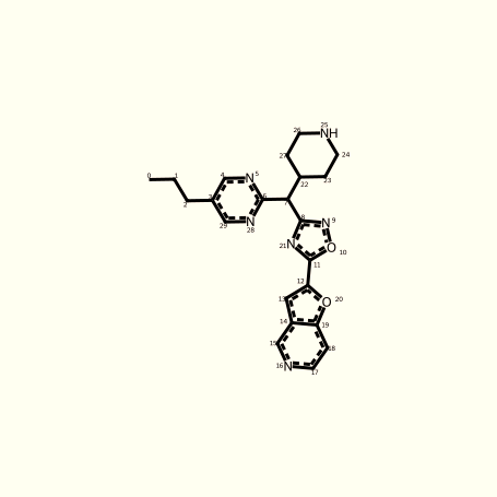 CCCc1cnc(C(c2noc(-c3cc4cnccc4o3)n2)C2CCNCC2)nc1